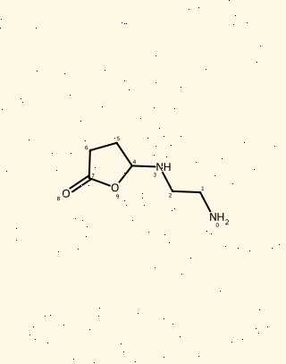 NCCNC1CCC(=O)O1